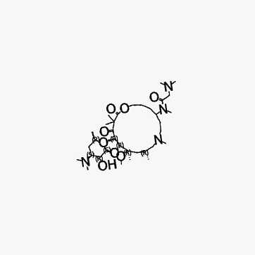 CO[C@]1(C)C[C@@H](C)CN(C)CCC(N(C)C(=O)CN(C)C)CCCOC(=O)C(C)(C)C(=O)[C@H](C)[C@H]1O[C@@H]1O[C@H](C)C[C@H](N(C)C)[C@H]1O